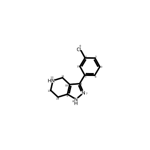 Clc1cccc(-c2n[nH]c3c2CNCC3)c1